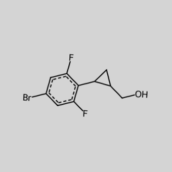 OCC1CC1c1c(F)cc(Br)cc1F